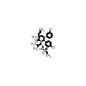 C=CC[C@@]1(C)C[C@H](c2cccc(Cl)c2)[C@@H](c2ccc(Cl)cc2)N([C@H](CNS(=O)(=O)CC)C(C)C)C1=O